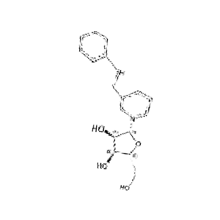 OC[C@H]1O[C@@H]([n+]2cccc(C=[SH]c3ccccc3)c2)[C@H](O)[C@@H]1O